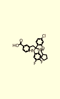 O=C(O)c1cccc(CC2(c3ccc(Cl)cc3OCC3CCCC3)Nc3cc(F)c(F)cc3N2)c1